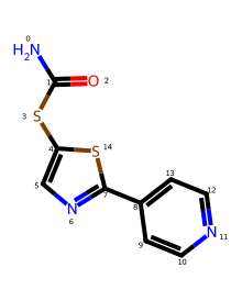 NC(=O)Sc1cnc(-c2ccncc2)s1